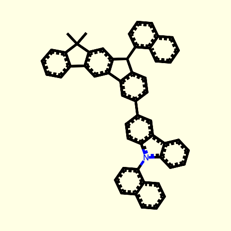 CC1(C)c2ccccc2-c2cc3c(cc21)C(c1cccc2ccccc12)c1ccc(-c2ccc4c(c2)c2ccccc2n4-c2cccc4ccccc24)cc1-3